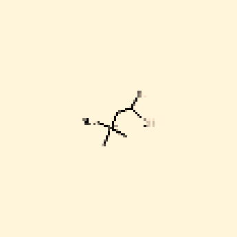 CCCC[N+](C)(C)CC(O)CC